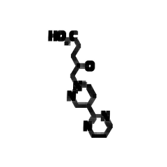 O=C(O)CCC(=O)C[n+]1ccc(-c2ncccn2)cn1